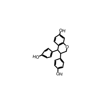 Oc1ccc(C2COc3cc(O)ccc3C2c2ccc(O)cc2)cc1